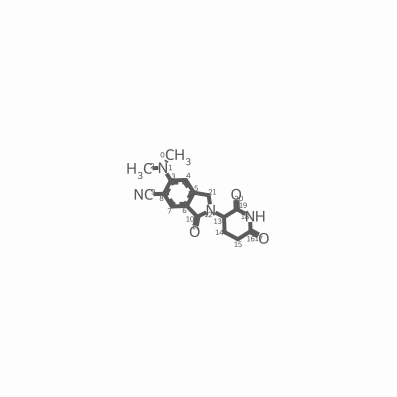 CN(C)c1cc2c(cc1C#N)C(=O)N(C1CCC(=O)NC1=O)C2